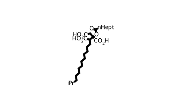 CCCCCCCC(=O)OC(CC(=O)O)(C(=O)O)C(CCCCCCCCCCCC(C)C)C(=O)O